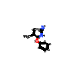 CC(C)C(=NC#N)Oc1ccccc1